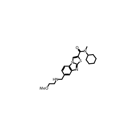 COCCNCc1ccc2c(c1)nc1sc(C(=O)N(C)C3CCCCC3)cn12